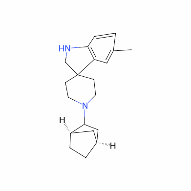 Cc1ccc2c(c1)C1(CCN(C3C[C@H]4CC[C@@H]3C4)CC1)CN2